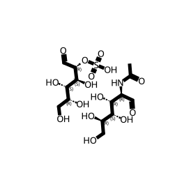 CC(=O)N[C@@H](C=O)[C@@H](O)[C@H](O)[C@H](O)CO.O=C[C@H](OS(=O)(=O)O)[C@@H](O)[C@@H](O)[C@H](O)CO